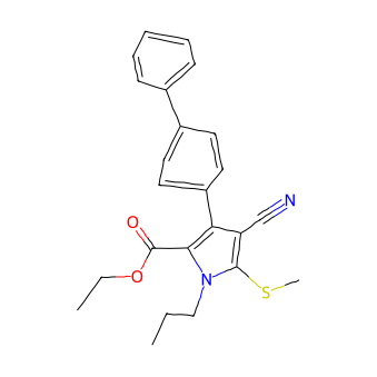 CCCn1c(SC)c(C#N)c(-c2ccc(-c3ccccc3)cc2)c1C(=O)OCC